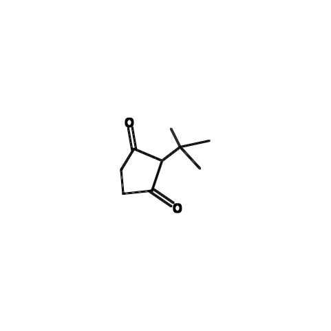 CC(C)(C)C1C(=O)CCC1=O